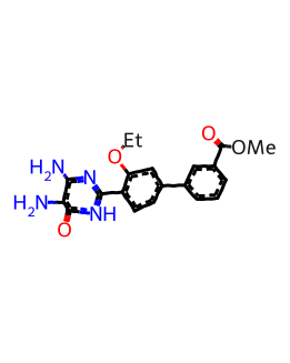 CCOc1cc(-c2cccc(C(=O)OC)c2)ccc1-c1nc(N)c(N)c(=O)[nH]1